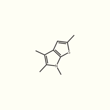 Cc1cc2c(C)c(C)n(C)c2s1